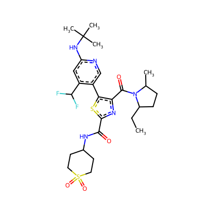 CCC1CCC(C)N1C(=O)c1nc(C(=O)NC2CCS(=O)(=O)CC2)sc1-c1cnc(NC(C)(C)C)cc1C(F)F